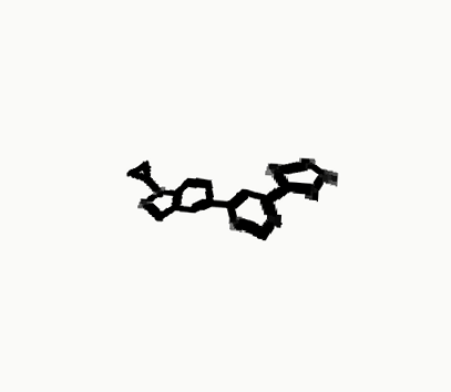 c1nc(-c2ccc3c(cnn3C3CC3)c2)cc(-c2nn[nH]n2)n1